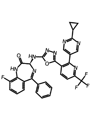 O=C1Nc2c(F)cccc2C(c2ccccc2)=N[C@@H]1Nc1nnc(-c2ccc(C(F)(F)F)nc2-c2cnc(C3CC3)nc2)o1